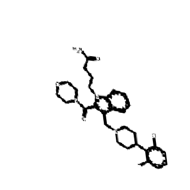 NC(=O)CCCn1c(C(=O)N2CCOCC2)c(CN2CCC(c3c(F)cccc3Cl)CC2)c2ccccc21